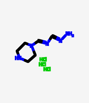 Cl.Cl.Cl.NN=CN=CN1CCNCC1